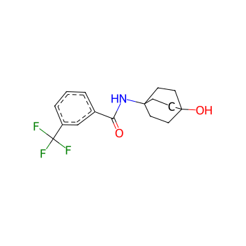 O=C(NC12CCC(O)(CC1)CC2)c1cccc(C(F)(F)F)c1